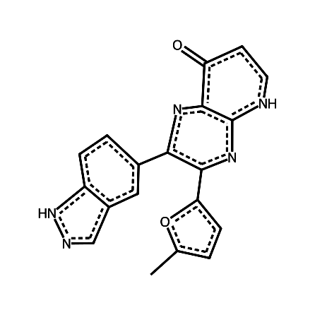 Cc1ccc(-c2nc3[nH]ccc(=O)c3nc2-c2ccc3[nH]ncc3c2)o1